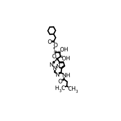 CC(C)CC(=O)Nc1ncnn2c([C@]3(C#N)O[C@H](COC(=O)CC4CCCCC4)[C@@H](O)[C@H]3O)ccc12